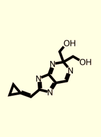 OCC1(CO)N=CC2=NC(C=C3CC3)=NC2=N1